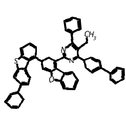 CCc1c(-c2ccccc2)nc(C2=c3c(oc4ccccc34)=CC(c3cccc4sc5cc(C6C=CC=CC6)ccc5c34)C2)nc1C1C=CC(c2ccccc2)=CC1